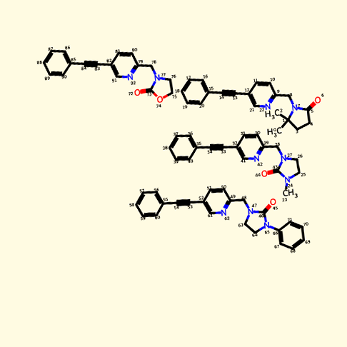 CC1(C)CCC(=O)N1Cc1ccc(C#Cc2ccccc2)cn1.CN1CCN(Cc2ccc(C#Cc3ccccc3)cn2)C1=O.O=C1N(Cc2ccc(C#Cc3ccccc3)cn2)CCN1c1ccccc1.O=C1OCCN1Cc1ccc(C#Cc2ccccc2)cn1